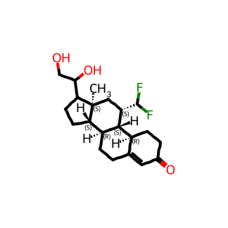 C[C@]12C[C@H](C(F)F)[C@H]3[C@@H](CCC4=CC(=O)CC[C@@H]43)[C@@H]1CCC2C(O)CO